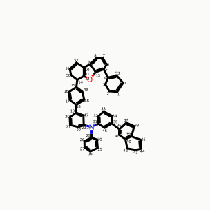 C1=CCCC(c2cccc3c4c(oc23)C(c2ccc(-c3cccc(N(c5ccccc5)c5cccc(-c6ccc7c(c6)CCC=C7)c5)c3)cc2)CC=C4)=C1